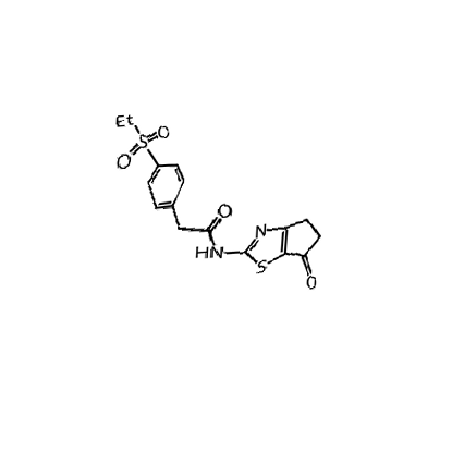 CCS(=O)(=O)c1ccc(CC(=O)Nc2nc3c(s2)C(=O)CC3)cc1